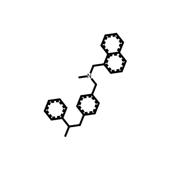 CC(Cc1ccc(CN(C)Cc2cccc3ccccc23)cc1)c1ccccc1